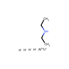 CCNCC.[Al+3].[H-].[H-].[H-].[H-].[Li+]